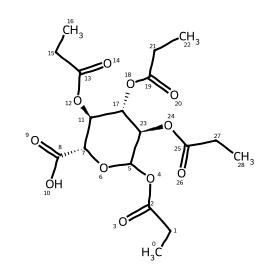 CCC(=O)OC1O[C@H](C(=O)O)[C@@H](OC(=O)CC)[C@H](OC(=O)CC)[C@H]1OC(=O)CC